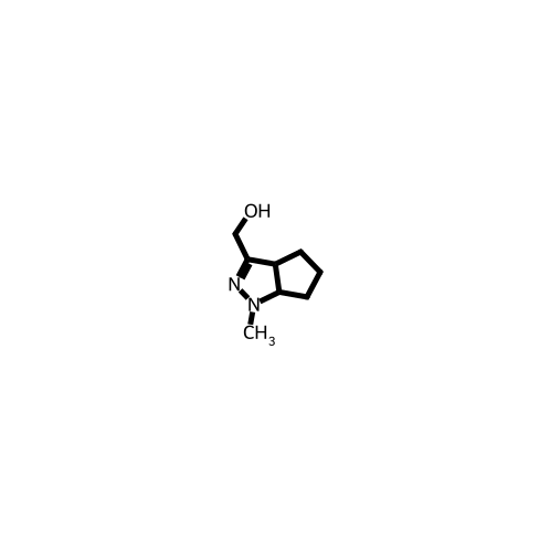 CN1N=C(CO)C2CCCC21